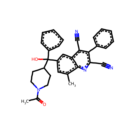 CC(=O)N1CCC(C(O)(c2ccccc2)c2cc(C)c3nc(C#N)c(-c4ccccc4)c(C#N)c3c2)CC1